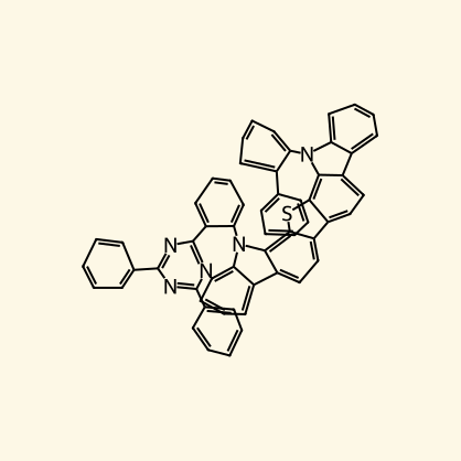 c1ccc(-c2nc(-c3ccccc3)nc(-c3ccccc3-n3c4ccccc4c4ccc5c6ccc7c8ccccc8n(-c8ccccc8-c8ccccc8)c7c6sc5c43)n2)cc1